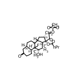 CCCC(=O)O[C@@]1(C(=O)COS(C)(=O)=O)[C@@H](C)C[C@H]2[C@@H]3CC[C@@H]4CC(=O)CC[C@]4(C)[C@@]3(F)[C@@H](O)C[C@@]21C